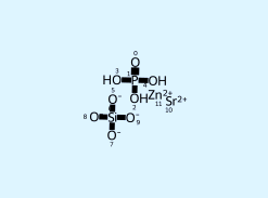 O=P(O)(O)O.[O-][Si]([O-])([O-])[O-].[Sr+2].[Zn+2]